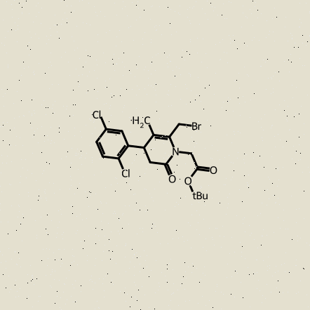 [CH2]C1=C(CBr)N(CC(=O)OC(C)(C)C)C(=O)CC1c1cc(Cl)ccc1Cl